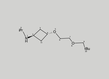 CC(C)N[C@H]1C[C@H](OCCOCC(C)(C)C)C1